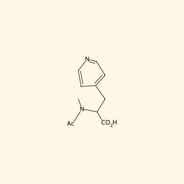 CC(=O)N(C)C(Cc1ccncc1)C(=O)O